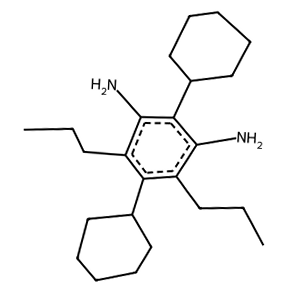 CCCc1c(N)c(C2CCCCC2)c(N)c(CCC)c1C1CCCCC1